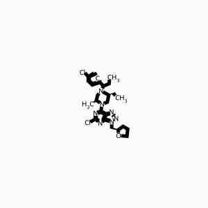 CCC(c1ccc(Cl)cc1)N1C[C@H](C)N(c2nc(Cl)nc3c2nnn3C[C@H]2CCCO2)C[C@H]1CC